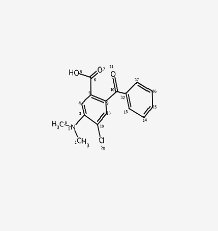 CN(C)c1cc(C(=O)O)c(C(=O)c2ccccc2)cc1Cl